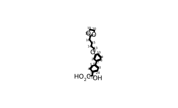 O=C(O)C(O)c1ccc(-c2cccc(OCCCCC3OCCO3)c2)cc1